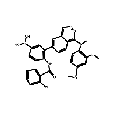 COc1ccc(N(C)c2nncc3cc(-c4cc(B(O)O)ccc4NC(=O)c4ccccc4Cl)ccc23)c(OC)c1